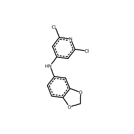 Clc1cc(Nc2ccc3c(c2)OCO3)cc(Cl)n1